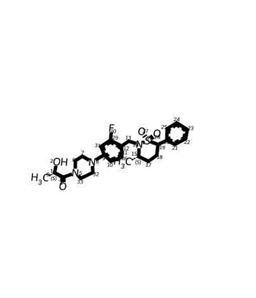 C[C@H](O)C(=O)N1CCN(c2ccc(CN3[C@@H](C)CCC(c4ccccc4)S3(=O)=O)c(F)c2)CC1